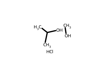 CC(C)O.CO.Cl